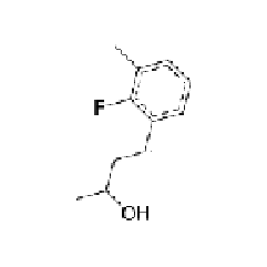 Cc1cccc([CH]CC(C)O)c1F